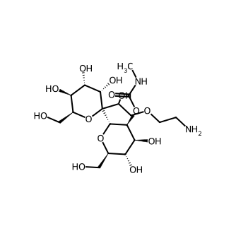 CNC(=O)O[C@H]1[C@@H](O)[C@H](O)[C@@H](CO)O[C@@H]1C1(C(O)COCCN)O[C@@H](CO)[C@@H](O)[C@H](O)[C@@H]1O